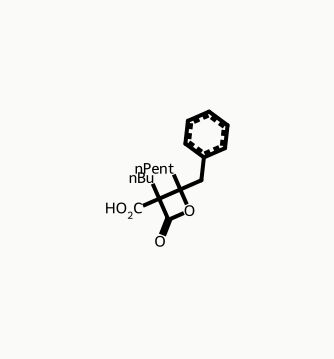 CCCCCC1(Cc2ccccc2)OC(=O)C1(CCCC)C(=O)O